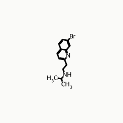 CC(C)NCCc1ccc2ccc(Br)cc2n1